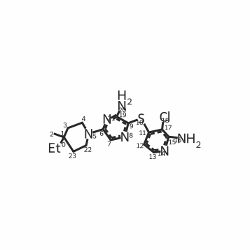 CCC1(C)CCN(c2cnc(Sc3ccnc(N)c3Cl)c(N)n2)CC1